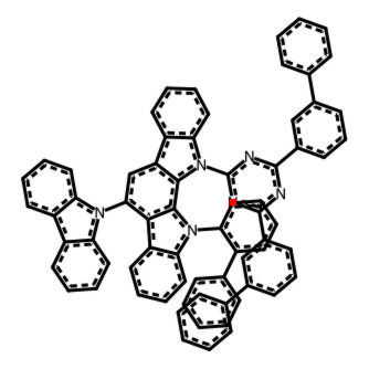 c1ccc(-c2cccc(-c3nc(-c4cccc(-c5ccccc5)c4)nc(-n4c5ccccc5c5cc(-n6c7ccccc7c7ccccc76)c6c7ccccc7n(-c7ccccc7-c7ccccc7)c6c54)n3)c2)cc1